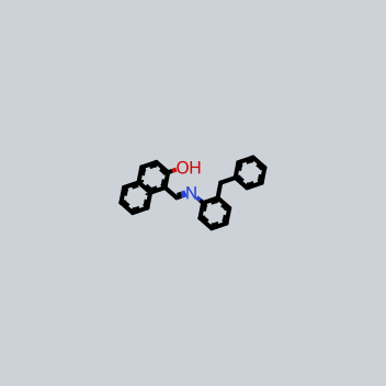 Oc1ccc2ccccc2c1/C=N/c1ccccc1Cc1ccccc1